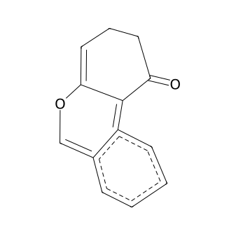 O=C1CCC=C2OC=c3ccccc3=C12